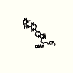 COC(CCC(F)(F)F)Cc1nnc2cc(-c3ccnc(Nc4ccnn4C)n3)ccn12